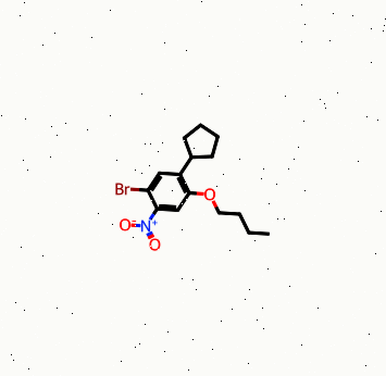 CCCCOc1cc([N+](=O)[O-])c(Br)cc1C1CCCC1